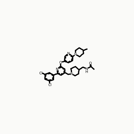 CC(=O)NCC1CCN(Cc2cc(Oc3ccc(N4CCC(C)CC4)nc3)nc(-c3cc(Cl)cc(Cl)c3)c2)CC1